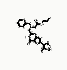 CCCOC(=O)CN(Cc1ccccn1)Cc1nc2cc(-c3cn[nH]c3C)sc2c(=O)[nH]1